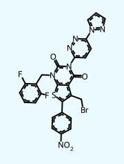 O=c1c2c(CBr)c(-c3ccc([N+](=O)[O-])cc3)sc2n(Cc2c(F)cccc2F)c(=O)n1-c1ccc(-n2cccn2)nn1